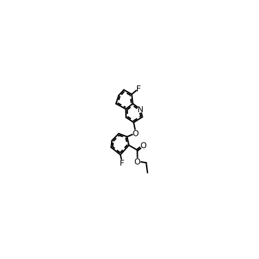 CCOC(=O)c1c(F)cccc1Oc1cnc2c(F)cccc2c1